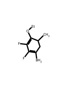 BC1=C(F)C(F)=C(OCC)C(C)C1